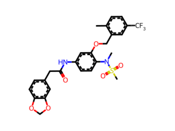 Cc1ccc(C(F)(F)F)cc1COc1cc(NC(=O)Cc2ccc3c(c2)OCO3)ccc1N(C)S(C)(=O)=O